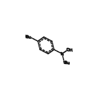 CCC(C)c1ccc(N(O)C(C)(C)C)cc1